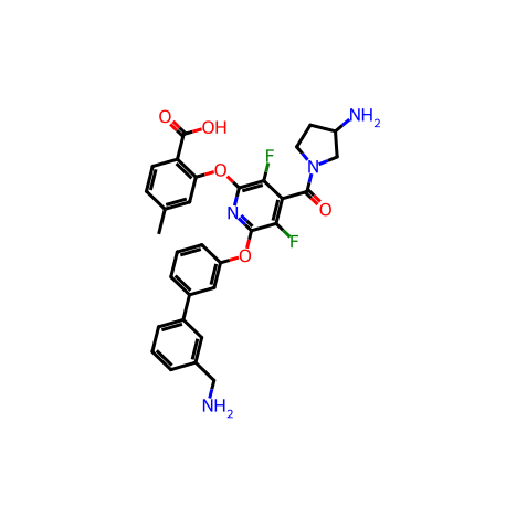 Cc1ccc(C(=O)O)c(Oc2nc(Oc3cccc(-c4cccc(CN)c4)c3)c(F)c(C(=O)N3CCC(N)C3)c2F)c1